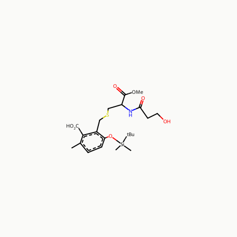 COC(=O)C(CSCc1c(O[Si](C)(C)C(C)(C)C)ccc(C)c1C(=O)O)NC(=O)CCO